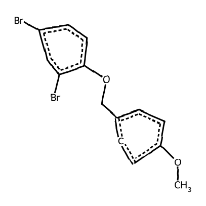 COc1ccc(COc2ccc(Br)cc2Br)cc1